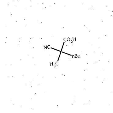 CCCCC(C)(C#N)C(=O)O